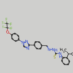 CC(C)c1ccccc1NC(=S)N/N=C/c1ccc(-c2ncn(-c3ccc(OC(F)(F)C(F)(F)F)cc3)n2)cc1